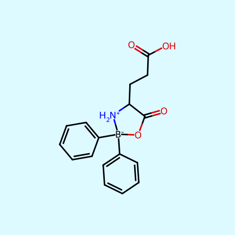 O=C(O)CCC1[NH2+][B-](c2ccccc2)(c2ccccc2)OC1=O